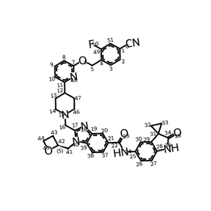 N#Cc1ccc(COc2cccc(C3CCN(Cc4nc5cc(C(=O)Nc6ccc7c(c6)C6(CC6)C(=O)N7)ccc5n4C[C@@H]4CCO4)CC3)n2)c(F)c1